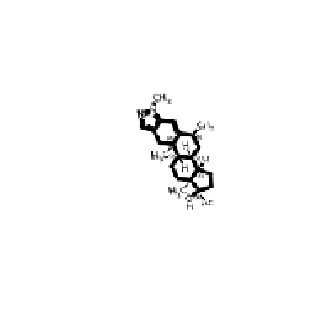 CC(=O)[C@@]1(O)CC[C@H]2[C@@H]3C[C@H](C)C4=Cc5c(cnn5C)C[C@]4(C)[C@H]3CC[C@@]21C